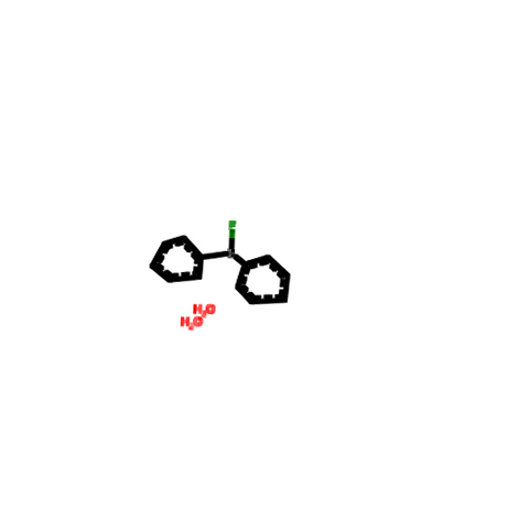 FB(c1ccccc1)c1ccccc1.O.O